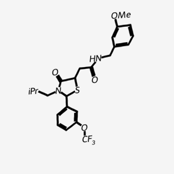 COc1cccc(CNC(=O)CC2SC(c3cccc(OC(F)(F)F)c3)N(CC(C)C)C2=O)c1